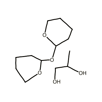 C1CCC(OC2CCCCO2)OC1.CC(O)CO